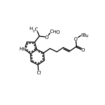 CC(OC=O)c1c[nH]c2cc(Cl)cc(CCC=CC(=O)OC(C)(C)C)c12